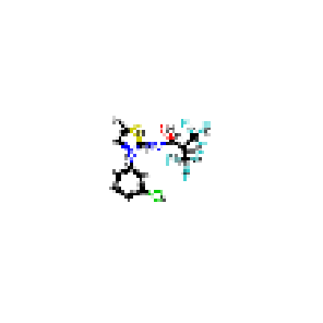 Cc1cn(-c2cccc(Cl)c2)c(=NC(=O)C(C(F)(F)F)C(F)(F)F)s1